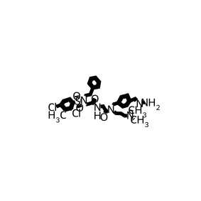 Cc1c(Cl)ccc(S(=O)(=O)N(CCc2ccccc2)CC(=O)NCC(=O)N(CCCN(C)C)Cc2ccc(C=NN)cc2)c1Cl